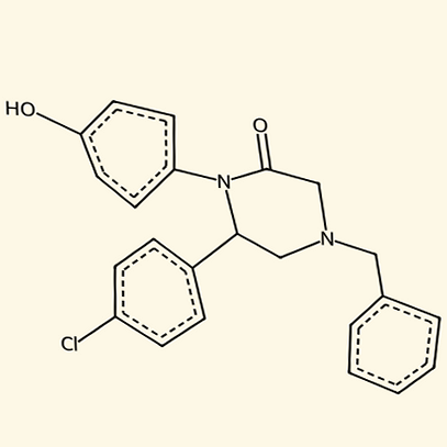 O=C1CN(Cc2ccccc2)CC(c2ccc(Cl)cc2)N1c1ccc(O)cc1